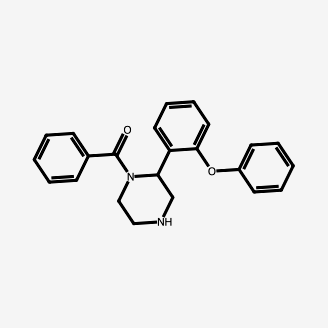 O=C(c1ccccc1)N1CCNCC1c1ccccc1Oc1ccccc1